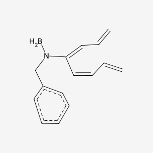 BN(Cc1ccccc1)C(/C=C\C=C)=C/C=C